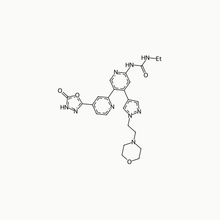 CCNC(=O)Nc1cc(-c2cnn(CCN3CCOCC3)c2)c(-c2cc(-c3n[nH]c(=O)o3)ccn2)cn1